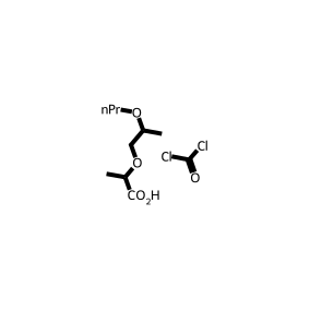 CCCOC(C)COC(C)C(=O)O.O=C(Cl)Cl